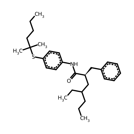 CCCCC(C)(C)Sc1ccc(NC(=O)[C@@H](Cc2ccccc2)CC(CC)CCC)cc1